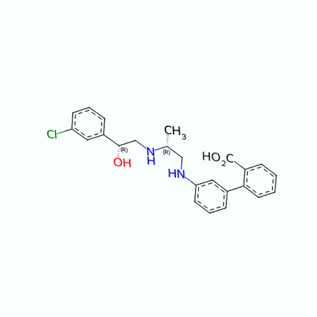 C[C@H](CNc1cccc(-c2ccccc2C(=O)O)c1)NC[C@H](O)c1cccc(Cl)c1